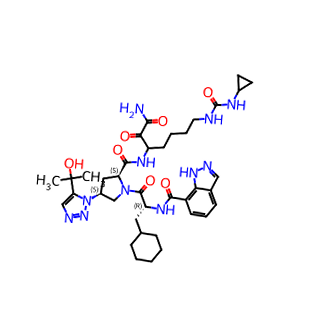 CC(C)(O)c1cnnn1[C@H]1C[C@@H](C(=O)NC(CCCCNC(=O)NC2CC2)C(=O)C(N)=O)N(C(=O)[C@@H](CC2CCCCC2)NC(=O)c2cccc3cn[nH]c23)C1